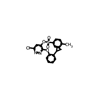 Cc1ccc(S(=O)(=O)Oc2cc(Cl)nnc2Oc2ccccc2C2CC2)cc1